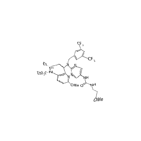 CCOC(=O)N1c2ccc(OC)nc2C(N(Cc2cc(C(F)(F)F)cc(C(F)(F)F)c2)c2ncc(NC(=O)NCCOC)cn2)C[C@H]1CC